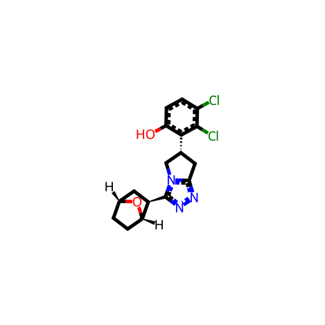 Oc1ccc(Cl)c(Cl)c1[C@@H]1Cc2nnc([C@@H]3C[C@H]4CC[C@@H]3O4)n2C1